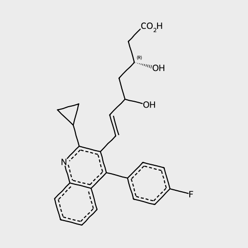 O=C(O)C[C@H](O)CC(O)C=Cc1c(C2CC2)nc2ccccc2c1-c1ccc(F)cc1